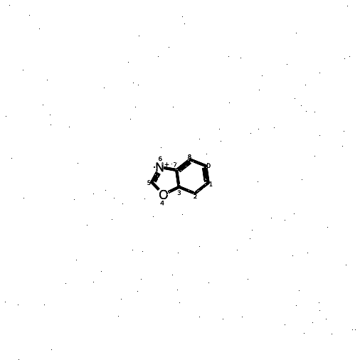 C1=CCC2OC=[N+]C2=C1